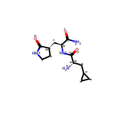 NC(=O)[C@H](C[C@@H]1CCNC1=O)NC(=O)[C@@H](N)CC1CC1